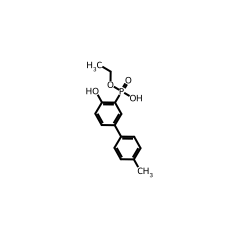 CCOP(=O)(O)c1cc(-c2ccc(C)cc2)ccc1O